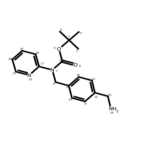 CC(C)(C)OC(=O)N(Cc1ccc(CN)cc1)c1ccccn1